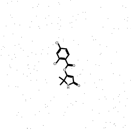 CC1(C)NC(=O)C=C1OC(=O)c1ccc(Cl)cc1Cl